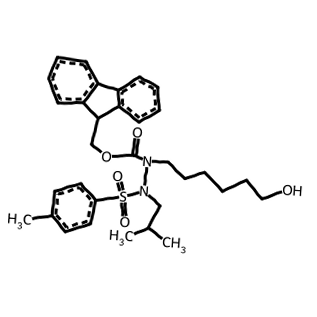 Cc1ccc(S(=O)(=O)N(CC(C)C)N(CCCCCCO)C(=O)OCC2c3ccccc3-c3ccccc32)cc1